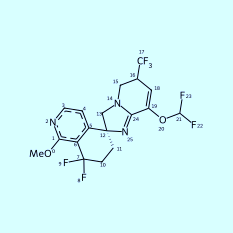 COc1nccc2c1C(F)(F)CC[C@@]21CN2CC(C(F)(F)F)C=C(OC(F)F)C2=N1